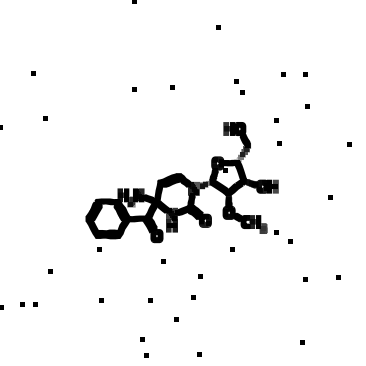 CO[C@@H]1[C@H](O)[C@@H](CO)O[C@H]1N1C=CC(N)(C(=O)c2ccccc2)NC1=O